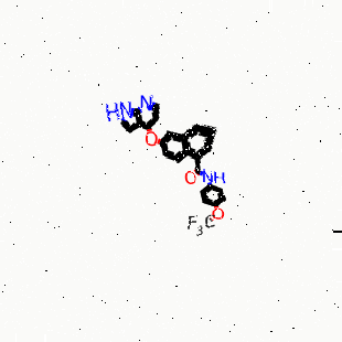 O=C(Nc1ccc(OC(F)(F)F)cc1)c1cccc2cc(Oc3ccnc4[nH]ccc34)ccc12